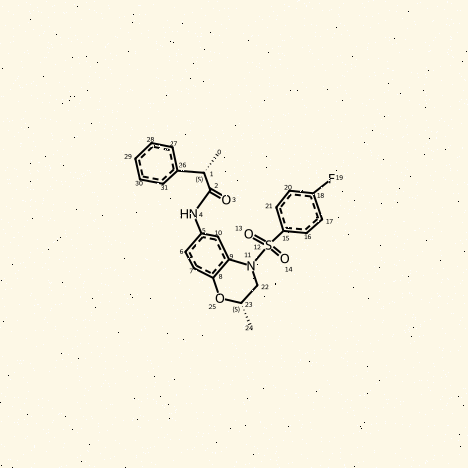 C[C@H](C(=O)Nc1ccc2c(c1)N(S(=O)(=O)c1ccc(F)cc1)C[C@H](C)O2)c1ccccc1